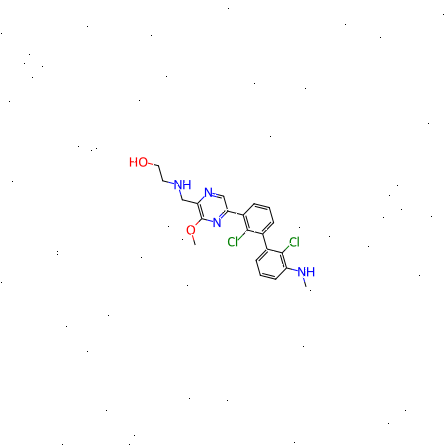 CNc1cccc(-c2cccc(-c3cnc(CNCCO)c(OC)n3)c2Cl)c1Cl